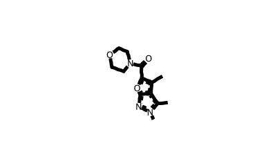 Cc1c(C(=O)N2CCOCC2)oc2nn(C)c(C)c12